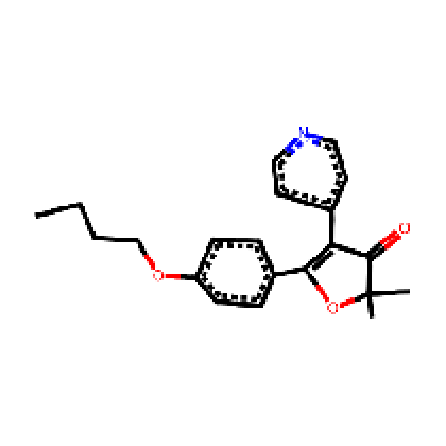 CCCCOc1ccc(C2=C(c3ccncc3)C(=O)C(C)(C)O2)cc1